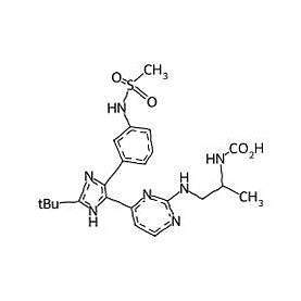 CC(CNc1nccc(-c2[nH]c(C(C)(C)C)nc2-c2cccc(NS(C)(=O)=O)c2)n1)NC(=O)O